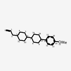 C=CCC1CCC(C2CCC(c3ccc(OC)cc3)CC2)CC1